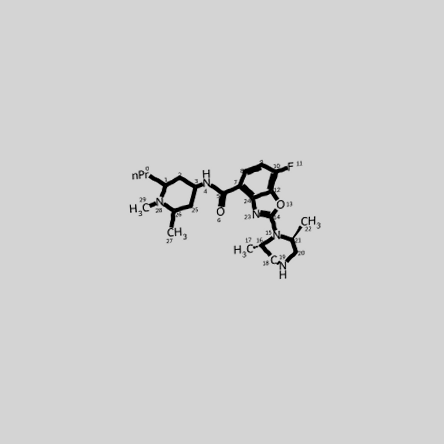 CCCC1CC(NC(=O)c2ccc(F)c3oc(N4[C@@H](C)CNC[C@@H]4C)nc23)CC(C)N1C